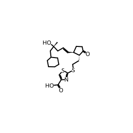 C[C@@](O)(CC=C[C@H]1CCC(=O)[C@@H]1CCSc1nc(C(=O)O)cs1)CC1CCCCC1